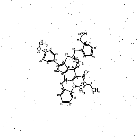 CCOC(=O)c1cn(Cc2ccccc2OC)c2sc(-c3ccc(OC)cc3)c(CN(C)Cc3ccccc3CS)c2c1=O